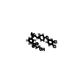 CC(=O)N(CCN1CCC(Oc2ccc(Cl)c(Cl)c2)CC1)c1cccc(S(=O)(=O)CCO)c1